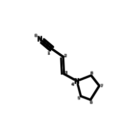 N#CC=CN1CCCC1